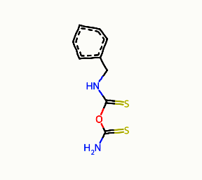 NC(=S)OC(=S)NCc1ccccc1